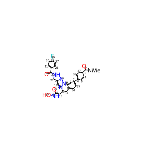 CNC(=O)c1ccc(-c2ccc(CC(CC(=O)NO)n3cc(CNC(=O)c4ccc(F)cc4)nn3)cc2)cc1